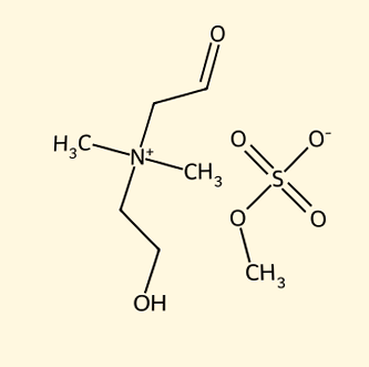 COS(=O)(=O)[O-].C[N+](C)(CC=O)CCO